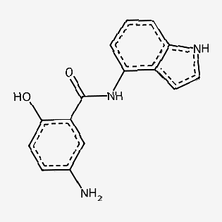 Nc1ccc(O)c(C(=O)Nc2cccc3[nH]ccc23)c1